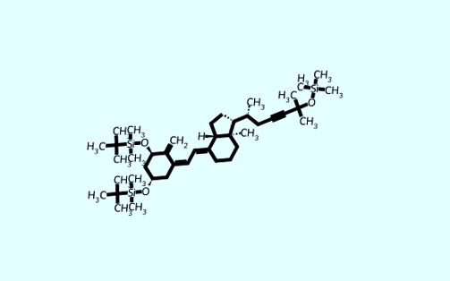 C=C1/C(=C\C=C2/CCC[C@]3(C)[C@@H]([C@H](C)CC#CC(C)(C)O[Si](C)(C)C)CC[C@@H]23)C[C@H](O[Si](C)(C)C(C)(C)C)C[C@H]1O[Si](C)(C)C(C)(C)C